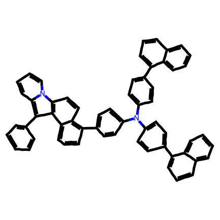 c1ccc(-c2c3c4cccc(-c5ccc(N(c6ccc(-c7cccc8ccccc78)cc6)c6ccc(-c7cccc8ccccc78)cc6)cc5)c4ccc3n3ccccc23)cc1